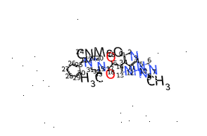 COc1cnc(-n2cnc(C)n2)c2[nH]cc(C(=O)C(=O)N3CC/[N+](=C(\C#N)c4ccccc4)CC3C)c12